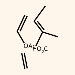 C=C.C=COC(C)=O.CC=C(C)C(=O)O